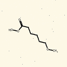 COCCCCCC(=O)OO